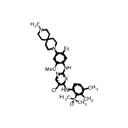 CCc1cc(Nc2ncc(Cl)c(Nc3ccc(C)c(C)c3P(C)(C)=O)n2)c(OC)cc1N1CCC2(CCN(C)CC2)CC1